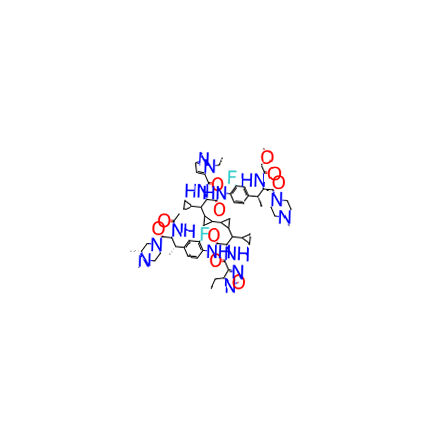 CCc1nonc1C(=O)N[C@H](C(=O)Nc1ccc([C@H](C)[C@@H](NC(C)=O)C(=O)N2CCN(C)[C@H](C)C2)cc1F)C(C1CC1)C1CC1C1CC1C(C1CC1)[C@H](NC(=O)c1ccnn1CC)C(=O)Nc1ccc([C@H](C)[C@@H](NC(=O)COC)C(=O)N2CCN(C)CC2)cc1F